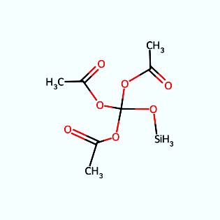 CC(=O)OC(O[SiH3])(OC(C)=O)OC(C)=O